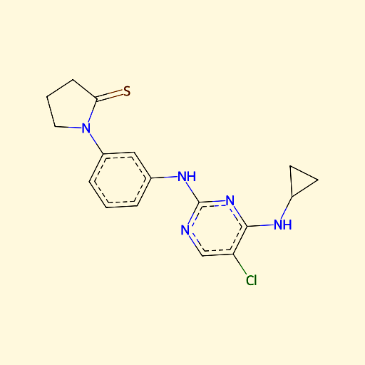 S=C1CCCN1c1cccc(Nc2ncc(Cl)c(NC3CC3)n2)c1